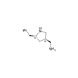 CC(C)C[C@@H]1C[C@H](CN)CN1